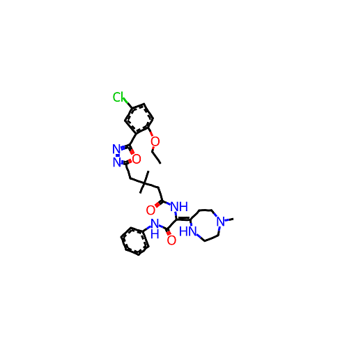 CCOc1ccc(Cl)cc1-c1nnc(CC(C)(C)CC(=O)N/C(C(=O)Nc2ccccc2)=C2\CCN(C)CCN2)o1